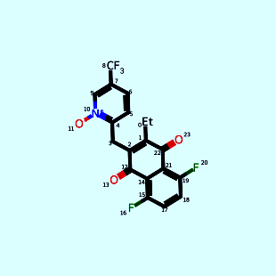 CCC1=C(Cc2ccc(C(F)(F)F)c[n+]2[O-])C(=O)c2c(F)ccc(F)c2C1=O